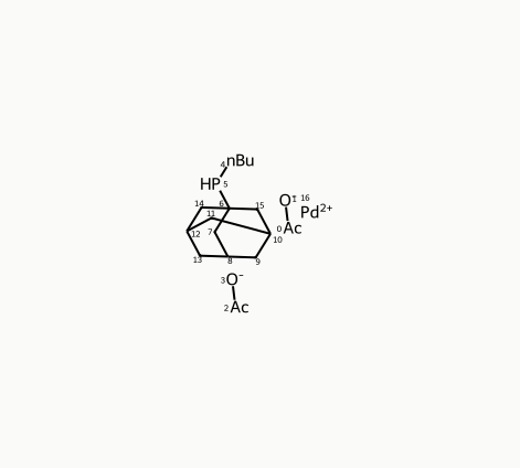 CC(=O)[O-].CC(=O)[O-].CCCCPC12CC3CC(CC(C3)C1)C2.[Pd+2]